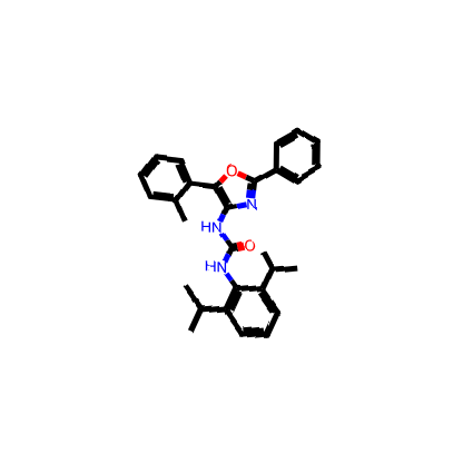 Cc1ccccc1-c1oc(-c2ccccc2)nc1NC(=O)Nc1c(C(C)C)cccc1C(C)C